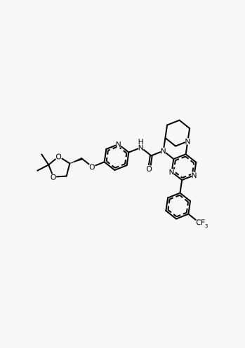 CC1(C)OC[C@H](COc2ccc(NC(=O)N3c4nc(-c5cccc(C(F)(F)F)c5)ncc4N4CCCC3C4)nc2)O1